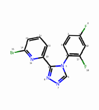 Fc1ccc(-n2cnnc2-c2cccc(Br)n2)c(F)c1